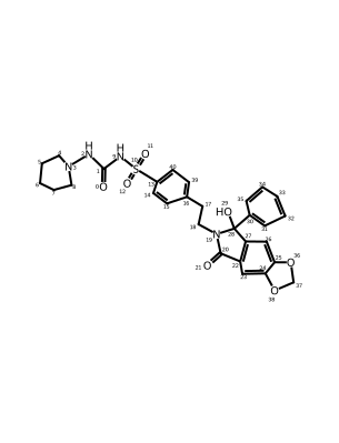 O=C(NN1CCCCC1)NS(=O)(=O)c1ccc(CCN2C(=O)c3cc4c(cc3C2(O)c2ccccc2)OCO4)cc1